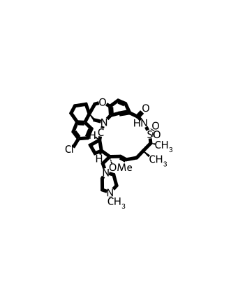 CO[C@@]1(CN2CCN(C)CC2)/C=C/C[C@H](C)[C@@H](C)S(=O)(=O)NC(=O)c2ccc3c(c2)N(C[C@@H]2CC[C@H]21)C[C@@]1(CCCc2cc(Cl)ccc21)CO3